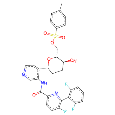 Cc1ccc(S(=O)(=O)OC[C@H]2O[C@@H](c3ccncc3NC(=O)c3ccc(F)c(-c4c(F)cccc4F)n3)CC[C@@H]2O)cc1